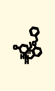 CC[C@]12C=CC(=O)C[C@@H]1NCc1cccc(OCc3ccccc3)c12